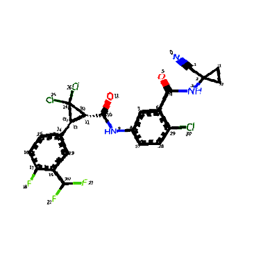 N#CC1(NC(=O)c2cc(NC(=O)[C@@H]3[C@@H](c4ccc(F)c(C(F)F)c4)C3(Cl)Cl)ccc2Cl)CC1